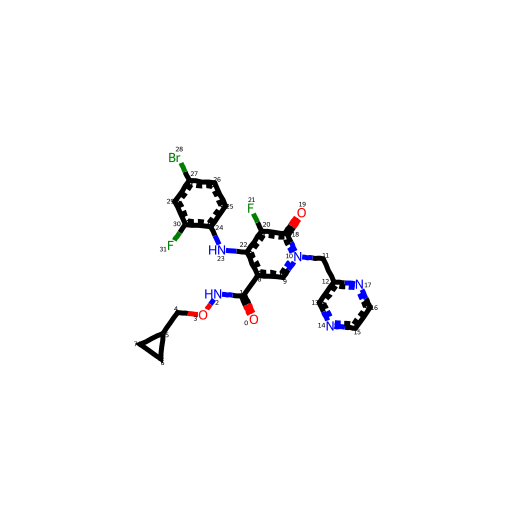 O=C(NOCC1CC1)c1cn(Cc2cnccn2)c(=O)c(F)c1Nc1ccc(Br)cc1F